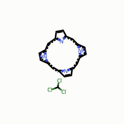 C1=Cc2cc3ccc(cc4nc(cc5ccc(cc1n2)[nH]5)C=C4)[nH]3.ClC(Cl)Cl